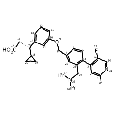 Cc1cc(-c2ccc(COc3cccc([C@@H](CC(=O)O)C4CC4)c3)cc2CN(C(C)C)C(C)C)c(F)cn1